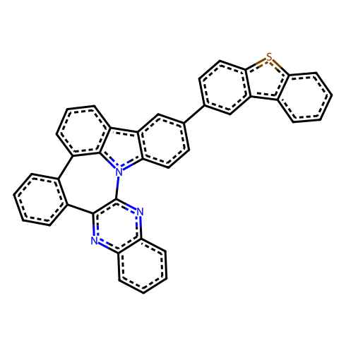 c1ccc2c(c1)-c1nc3ccccc3nc1-n1c3ccc(-c4ccc5sc6ccccc6c5c4)cc3c3cccc-2c31